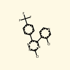 FC(F)(F)c1ccc(-c2nnc(Cl)nc2-c2ccncc2Cl)cc1